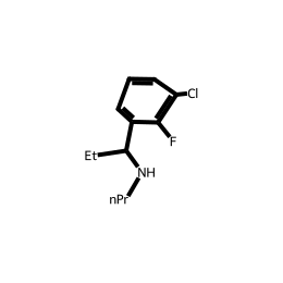 CCCNC(CC)c1cccc(Cl)c1F